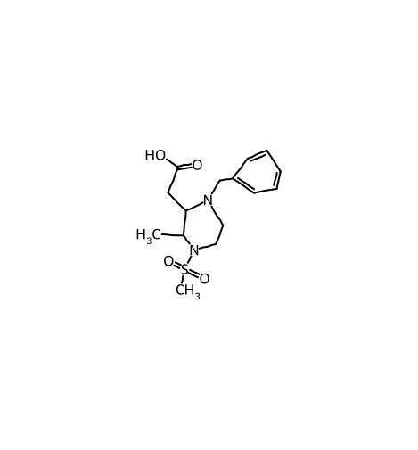 CC1C(CC(=O)O)N(Cc2ccccc2)CCN1S(C)(=O)=O